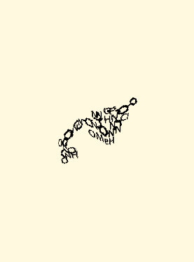 COc1cc(N2CCC(CN3CCN(c4ccc5c(c4)CN(C4CCC(=O)NC4=O)C5=O)CC3)CC2)c(-c2cnn(C)c2)cc1Nc1ncc(Cl)c(Nc2ccc(-c3ccccc3)cc2P(C)(C)=O)n1